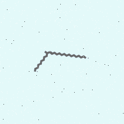 [CH2]CCCCCCCCCCCCC/C=C/C(C)CCCCCCCC[CH2]